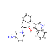 N[C@@H]1CCCN([C@@H]2Cc3ccccc3[C@H]2Oc2ccnc3ccccc23)C1